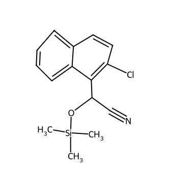 C[Si](C)(C)OC(C#N)c1c(Cl)ccc2ccccc12